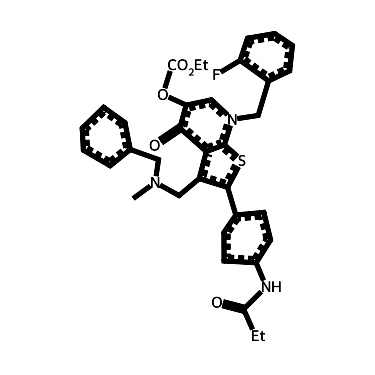 CCOC(=O)Oc1cn(Cc2ccccc2F)c2sc(-c3ccc(NC(=O)CC)cc3)c(CN(C)Cc3ccccc3)c2c1=O